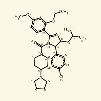 CCOc1cc(OC)ccc1C1=NC(CC(C)C)C(c2ccc(Cl)cc2)N1C(=O)N1CCC(N2CCCC2)CC1